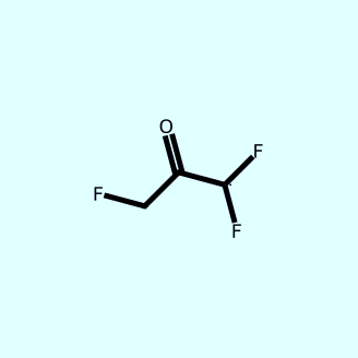 O=C(CF)[C](F)F